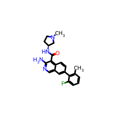 Cc1cccc(F)c1-c1ccc2c(C(=O)N[C@H]3CCN(C)C3)c(N)ncc2c1